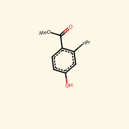 CCCc1cc(O)ccc1C(=O)OC